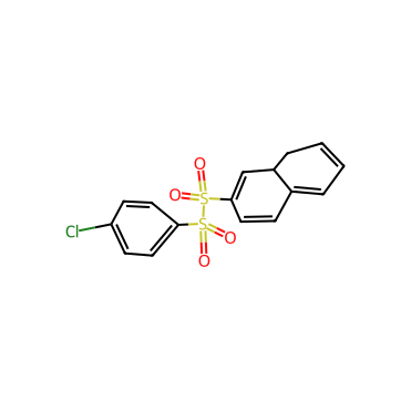 O=S(=O)(C1=CC2CC=CC=C2C=C1)S(=O)(=O)c1ccc(Cl)cc1